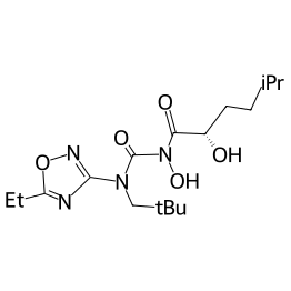 CCc1nc(N(CC(C)(C)C)C(=O)N(O)C(=O)[C@@H](O)CCC(C)C)no1